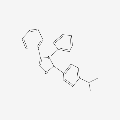 CC(C)c1ccc(C2OC=C(c3ccccc3)N2c2ccccc2)cc1